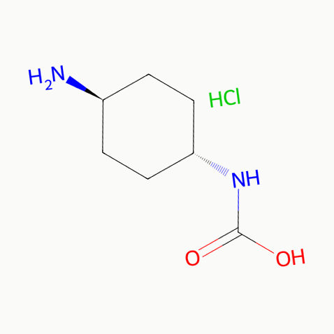 Cl.N[C@H]1CC[C@H](NC(=O)O)CC1